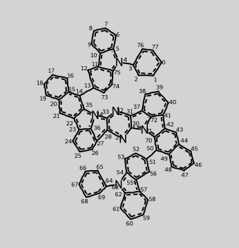 c1ccc(-n2c3ccccc3c3cc(-c4c5ccccc5cc5c6cccc7c8nc9c(nc8n(c45)c67)c4cccc5c6cc7ccccc7c(-c7ccc8c(c7)c7ccccc7n8-c7ccccc7)c6n9c54)ccc32)cc1